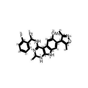 CCC(NC1=NC(C)Nc2[nH]c3cc(-c4c(C)noc4C)c(OC)cc3c21)c1ccccc1F